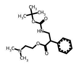 CN(C)CCOC(=O)C(CNC(=O)OC(C)(C)C)c1ccccc1